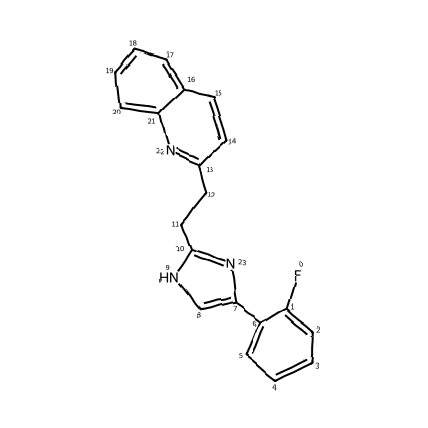 Fc1ccccc1-c1c[nH]c(CCc2ccc3ccccc3n2)n1